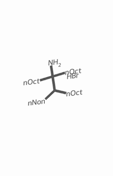 Br.CCCCCCCCCC(CCCCCCCC)C(N)(CCCCCCCC)CCCCCCCC